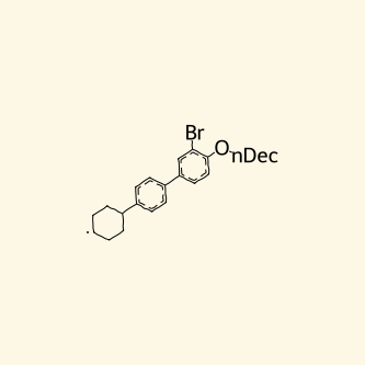 CCCCCCCCCCOc1ccc(-c2ccc(C3CC[CH]CC3)cc2)cc1Br